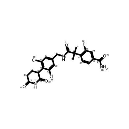 CC(C)(C(=O)NCc1cc(Cl)c(C2CCC(=O)NC2=O)c(Cl)c1)c1ccc(C(N)=O)cc1F